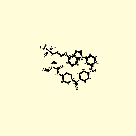 CC[C@@H](C)[C@@H](NC)C(=O)OC1CCN(C(=O)[C@H]2CC[C@H](Nc3nccc(-n4ccc5c(OCCCS(C)(=O)=O)cccc54)n3)CC2)CC1